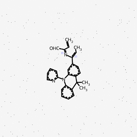 C=C/C(C=O)=N\C(=C/C)c1ccc2c(c1)N(c1ccccn1)c1ccccc1C2(C)C